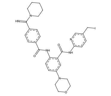 N=C(c1ccc(C(=O)Nc2ccc(N3CCOCC3)cc2C(=O)Nc2ccc(CI)cn2)cc1)N1CCCCC1